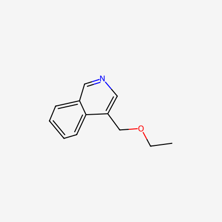 CCOCc1cncc2ccccc12